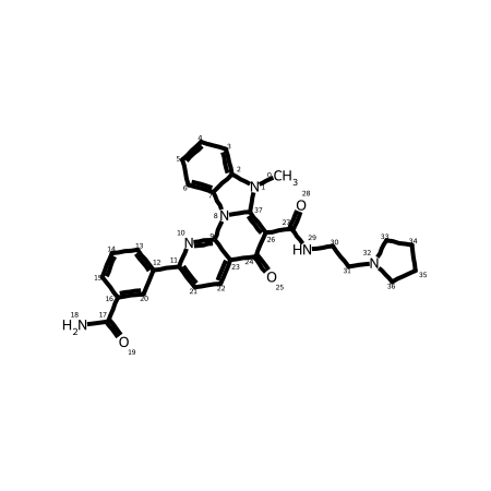 Cn1c2ccccc2n2c3nc(-c4cccc(C(N)=O)c4)ccc3c(=O)c(C(=O)NCCN3CCCC3)c12